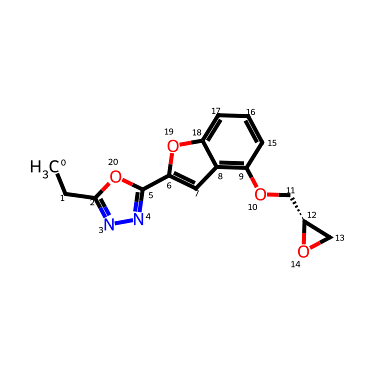 CCc1nnc(-c2cc3c(OC[C@@H]4CO4)cccc3o2)o1